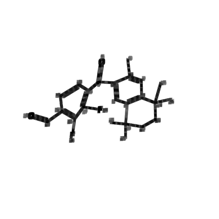 Cc1cc2c(cc1C(=O)c1ccc(C=O)c(F)c1F)C(C)(C)CCC2(C)C